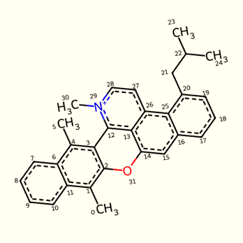 Cc1c2c(c(C)c3ccccc13)-c1c3c(cc4cccc(CC(C)C)c4c3cc[n+]1C)O2